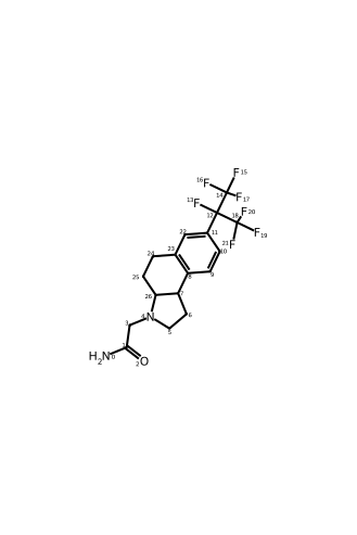 NC(=O)CN1CCC2c3ccc(C(F)(C(F)(F)F)C(F)(F)F)cc3CCC21